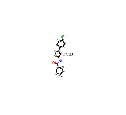 CCOC(=O)c1c(-c2ccc(Br)cc2)csc1NC(=O)c1ccc(F)cc1